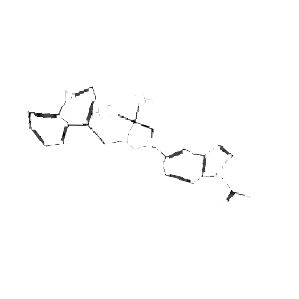 CC(=O)n1ccc2cc(N3CN(Cc4ccnc5ccccc45)C(C)(C)C3)ccc21